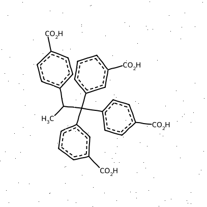 CC(c1ccc(C(=O)O)cc1)C(c1ccc(C(=O)O)cc1)(c1cccc(C(=O)O)c1)c1cccc(C(=O)O)c1